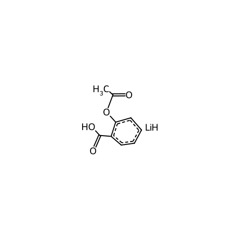 CC(=O)Oc1ccccc1C(=O)O.[LiH]